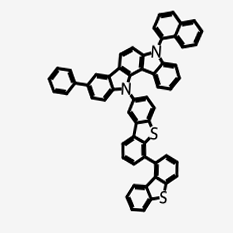 c1ccc(-c2ccc3c(c2)c2ccc4c(c5ccccc5n4-c4cccc5ccccc45)c2n3-c2ccc3sc4c(-c5cccc6sc7ccccc7c56)cccc4c3c2)cc1